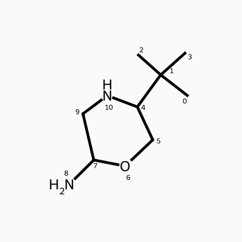 CC(C)(C)C1COC(N)CN1